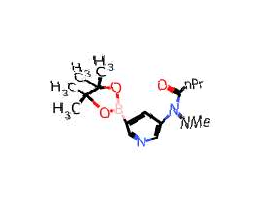 CCCC(=O)N(NC)c1cncc(B2OC(C)(C)C(C)(C)O2)c1